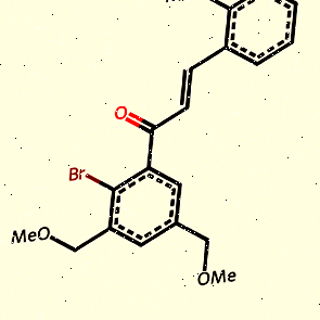 COCc1cc(COC)c(Br)c(C(=O)/C=C/c2ccccc2OC)c1